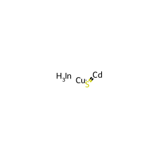 [Cu].[InH3].[S]=[Cd]